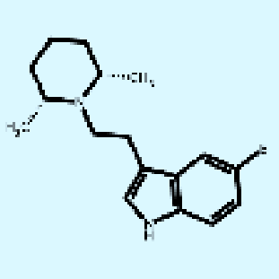 C[C@@H]1CCC[C@H](C)N1CCc1c[nH]c2ccc(Br)cc12